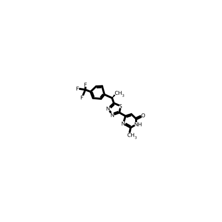 Cc1nc(-c2nnc([C@H](C)c3ccc(C(F)(F)F)cc3)s2)cc(=O)[nH]1